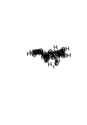 COc1ccc(CCCC(=O)NCC(=O)N[C@@H](CCCCNC(=O)CN2CCN(CC(=O)O)CCN(CC(=O)O)CCN(CC(=O)O)CC2)C(=O)NC[C@H]2CC[C@H](C(=O)N[C@@H](Cc3c4ccccc4cc4ccccc34)C(=O)NCCCC[C@H](NC(=O)N[C@@H](C[C@@H](F)C(=O)O)C(=O)O)C(=O)O)CC2)cc1